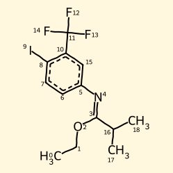 CCOC(=Nc1ccc(I)c(C(F)(F)F)c1)C(C)C